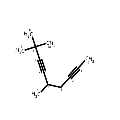 CC#CC[C](C)C#CC(C)(C)C